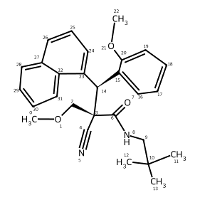 COC[C@](C#N)(C(=O)NCC(C)(C)C)[C@H](c1ccccc1OC)c1cccc2ccccc12